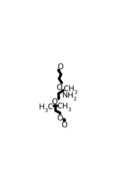 CC(C)(CCOC=O)OCCC(C)(N)OCCCC=O